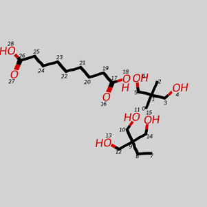 CC(C)(CO)CO.CCC(CO)(CO)CO.O=C(O)CCCCCCCC(=O)O